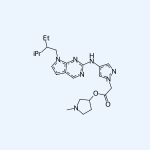 CCC(Cn1ccc2cnc(Nc3cnn(CC(=O)OC4CCN(C)C4)c3)nc21)C(C)C